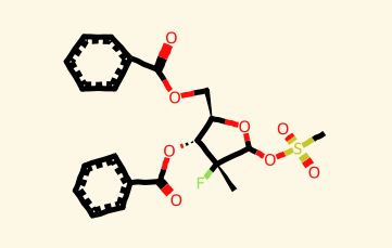 C[C@]1(F)C(OS(C)(=O)=O)O[C@H](COC(=O)c2ccccc2)[C@H]1OC(=O)c1ccccc1